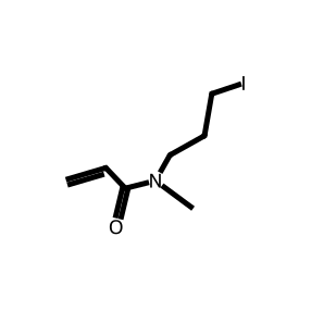 C=CC(=O)N(C)CCCI